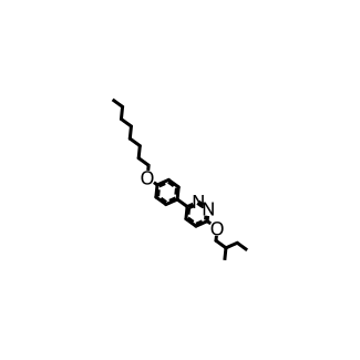 CCCCCCCCOc1ccc(-c2ccc(OCC(C)CC)nn2)cc1